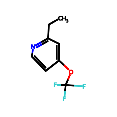 CCc1cc(OC(F)(F)F)ccn1